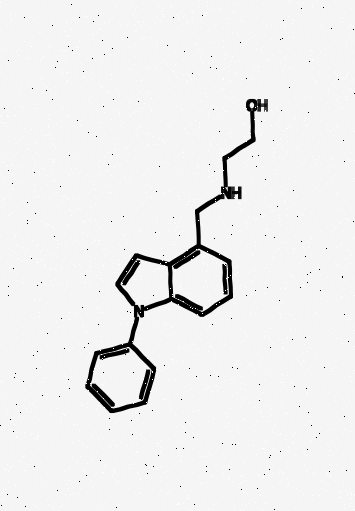 OCCNCc1cccc2c1ccn2-c1ccccc1